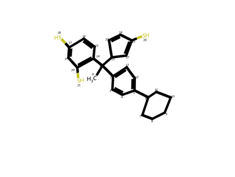 CC(c1ccc(C2CCCCC2)cc1)(c1ccc(S)cc1S)C1C=CC(S)=C1